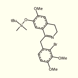 COc1cc2c(cc1O[Si](C)(C)C(C)(C)C)C(Cc1ccc(OC)c(OC)c1Br)=NCC2